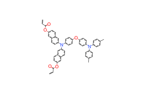 C=CC(=O)Oc1ccc2cc(N(c3ccc(Oc4ccc(N(c5ccc(C)cc5)c5ccc(C)cc5)cc4)cc3)c3ccc4cc(OC(=O)C=C)ccc4c3)ccc2c1